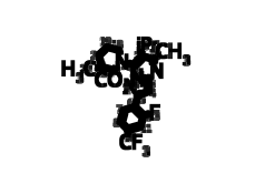 Cc1nc2cc(-c3ccc(C(F)(F)F)cc3F)nn2c(N2CCC[C@@](C)(C(=O)O)C2)c1C(C)C